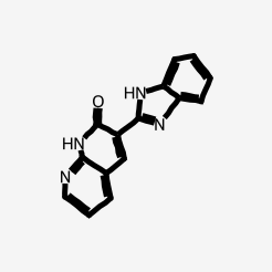 O=c1[nH]c2ncccc2cc1-c1nc2ccccc2[nH]1